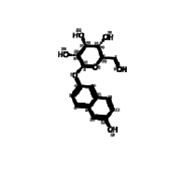 OC[C@H]1O[C@@H](Oc2ccc3cc(O)ccc3c2)[C@H](O)[C@@H](O)[C@@H]1O